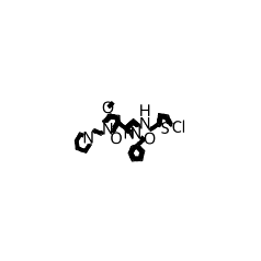 COc1cc(-c2cc(NCc3ccc(Cl)s3)n(C(=O)c3ccccc3)n2)c(=O)n(CCN2CCCCC2)c1